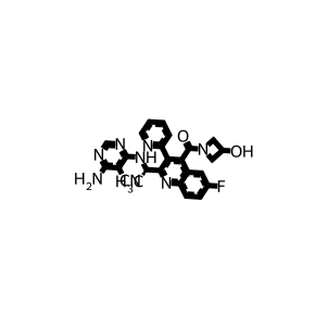 C[C@@H](Nc1ncnc(N)c1C#N)c1nc2ccc(F)cc2c(C(=O)N2CC(O)C2)c1-c1ccccn1